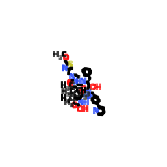 COCc1nc(CN2CCN([C@H](C(=O)N[C@@H](Cc3ccccc3)[C@@H](O)CN(Cc3ccc(-c4ccccn4)cc3)NC(=O)[C@@H](NC(=O)O)C(C)(C)C)C(C)(C)C)C2=O)cs1